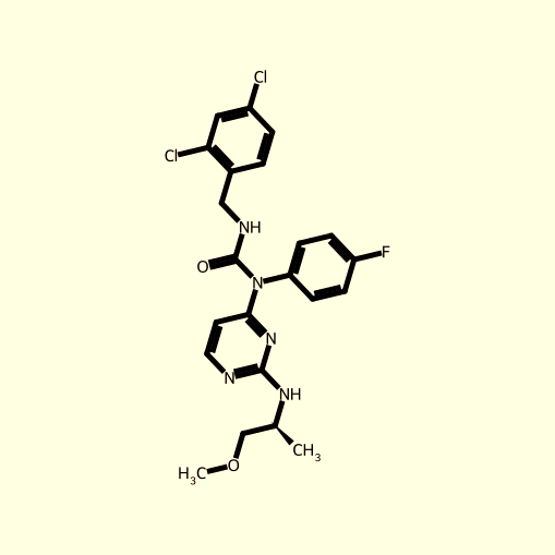 COC[C@H](C)Nc1nccc(N(C(=O)NCc2ccc(Cl)cc2Cl)c2ccc(F)cc2)n1